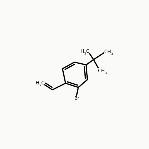 C=Cc1ccc(C(C)(C)C)cc1Br